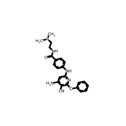 CN(C)CCNC(=O)c1ccc(Nc2cc(N)c(C#N)c(Oc3ccccc3)n2)cc1